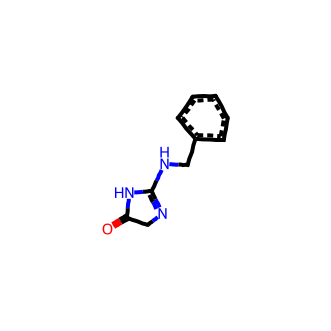 O=C1CN=C(NCc2ccccc2)N1